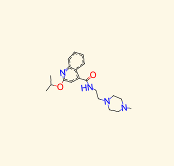 CC(C)Oc1cc(C(=O)NCCN2CCN(C)CC2)c2ccccc2n1